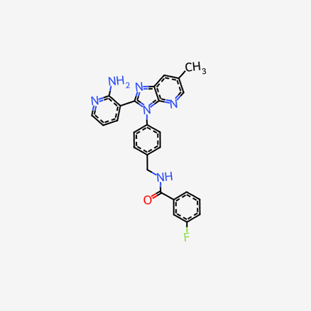 Cc1cnc2c(c1)nc(-c1cccnc1N)n2-c1ccc(CNC(=O)c2cccc(F)c2)cc1